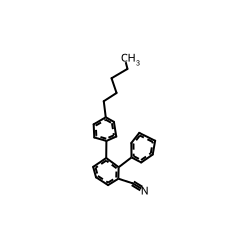 CCCCCc1ccc(-c2cccc(C#N)c2-c2ccccc2)cc1